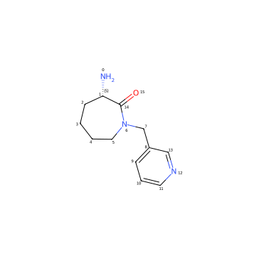 N[C@H]1CCCCN(Cc2cccnc2)C1=O